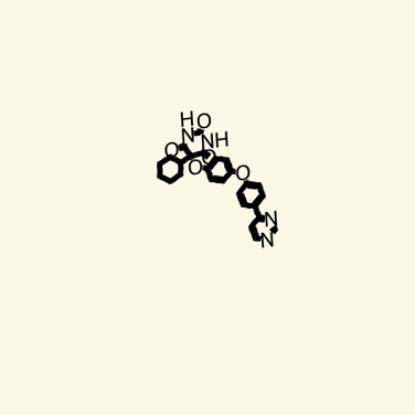 O=C1NC(=O)C(Oc2ccc(Oc3ccc(-c4ccncn4)cc3)cc2)(C2CCCCC2)C(=O)N1